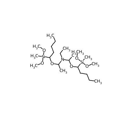 CCCCC(OC(C)N(CC)C(C)OC(CCCC)[Si](C)(OC)OC)[Si](C)(OC)OC